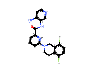 Nc1ccncc1NC(=O)c1cccc(N2CCc3c(F)ccc(F)c3C2)n1